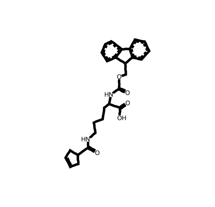 O=C(NC(CCCCNC(=O)C1CC=CC1)C(=O)O)OCC1c2ccccc2-c2ccccc21